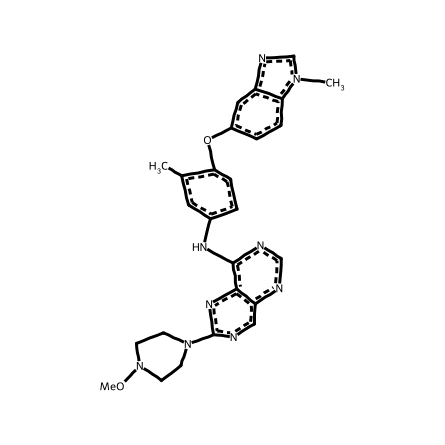 CON1CCN(c2ncc3ncnc(Nc4ccc(Oc5ccc6c(c5)ncn6C)c(C)c4)c3n2)CC1